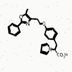 Cc1oc(-c2ccccc2)nc1CCOc1ccc(C[C@@H](C(=O)O)n2cccc2)cc1